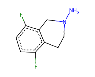 NN1CCc2c(F)ccc(F)c2C1